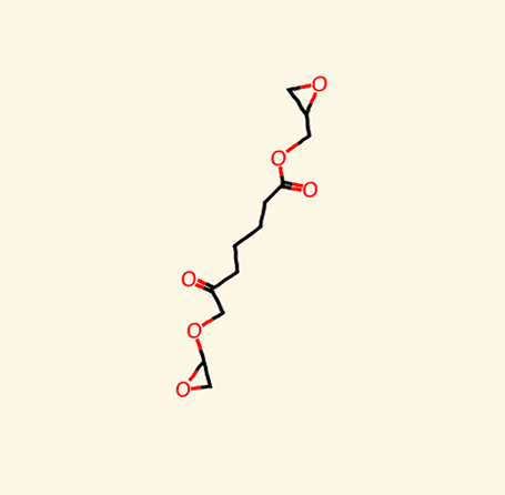 O=C(CCCCC(=O)OCC1CO1)COC1CO1